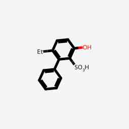 CCc1ccc(O)c(S(=O)(=O)O)c1-c1ccccc1